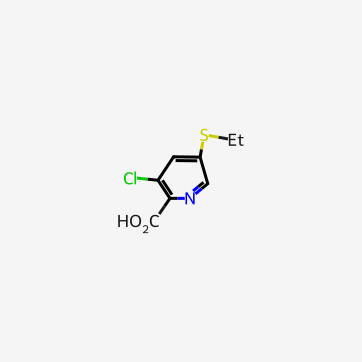 CCSc1cnc(C(=O)O)c(Cl)c1